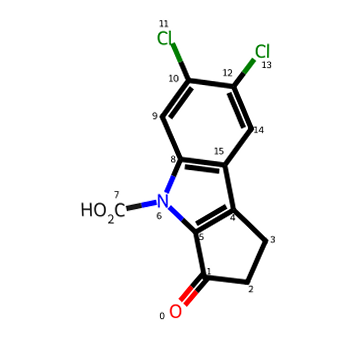 O=C1CCc2c1n(C(=O)O)c1cc(Cl)c(Cl)cc21